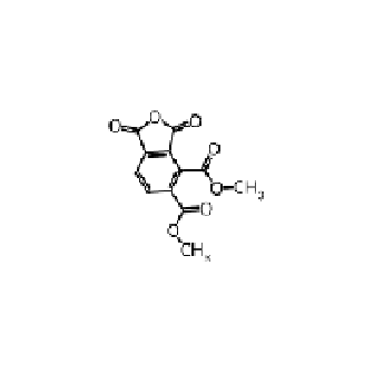 COC(=O)c1ccc2c(c1C(=O)OC)C(=O)OC2=O